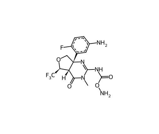 CN1C(=O)[C@@H]2[C@@H](C(F)(F)F)OC[C@]2(c2cc(N)ccc2F)N=C1NC(=O)ON